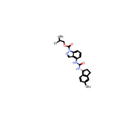 CCCCC(CC)COC(=O)n1ncc2c(NC(=O)N[C@@H]3CCc4cc(C(C)(C)C)ccc43)cccc21